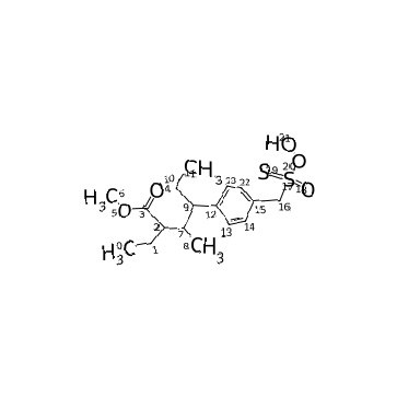 CCC(C(=O)OC)C(C)C(CC)c1ccc(CS(=O)(=S)OO)cc1